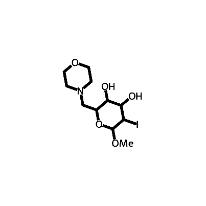 COC1OC(CN2CCOCC2)C(O)C(O)C1I